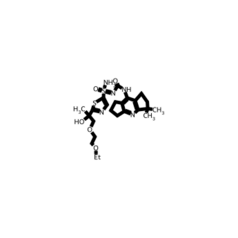 CCOCCOCC(C)(O)c1ncc(S(N)(=O)=NC(=O)Nc2c3c(nc4c2CCC4(C)C)CCC3)s1